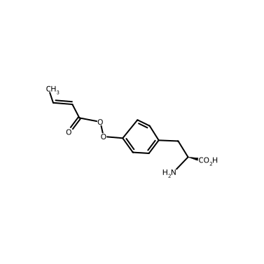 CC=CC(=O)OOc1ccc(C[C@H](N)C(=O)O)cc1